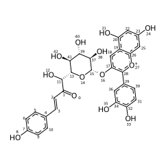 O=C(/C=C/c1ccc(O)cc1)C(O)[C@H]1O[C@@H](Oc2cc3c(O)cc(O)cc3[o+]c2-c2ccc(O)c(O)c2)[C@H](O)[C@@H](O)[C@@H]1O